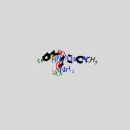 CN1CCC(N2CCN(C(=O)[C@@H](CC(N)=O)NC(=O)c3cc4ccc(Cl)cc4s3)CC2)CC1.Cl